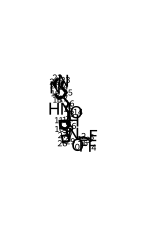 O=C(CC(F)(F)F)NC1(c2ccc(C(=O)NCc3ccn4ccnc4c3)s2)CCC1